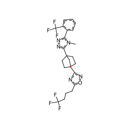 Cn1c(-c2ccccc2C(F)(F)F)nnc1C12CCC(c3noc(CCCC(F)(F)F)n3)(CC1)CC2